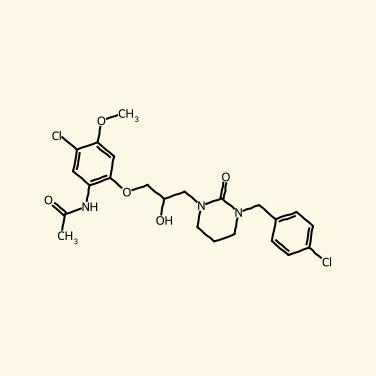 COc1cc(OCC(O)CN2CCCN(Cc3ccc(Cl)cc3)C2=O)c(NC(C)=O)cc1Cl